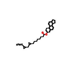 CCCCCC1CC1CC1CC1CCCCCCCC(=O)OC1=CCc2c(ccc3c4c(ccc23)=CC=C4)=C1